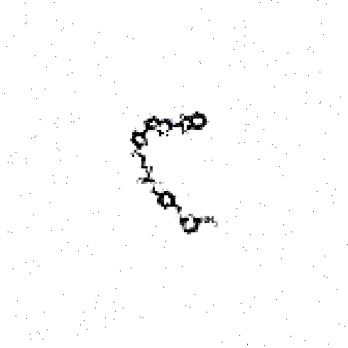 CN(CCOC(=O)NCc1ccc(COc2nccc(N)n2)cc1)c1ccc(-c2ccc(/C=C(\C#N)c3nc4ccccc4s3)s2)s1